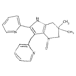 CC1(C)CC(=O)c2c([nH]c(-c3ccccn3)c2-c2ccccn2)C1